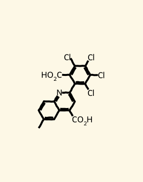 Cc1ccc2nc(-c3c(Cl)c(Cl)c(Cl)c(Cl)c3C(=O)O)cc(C(=O)O)c2c1